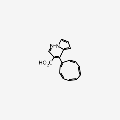 O=C(O)c1cnn2cccc2c1-c1ccccccccc1